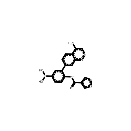 Nc1cnnc2cc(-c3cc(B(O)O)ccc3NC(=O)c3cnsc3)ccc12